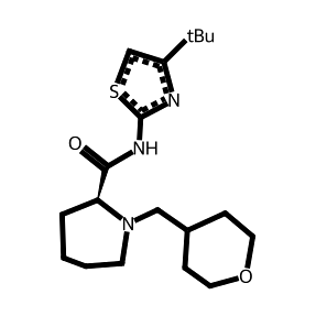 CC(C)(C)c1csc(NC(=O)[C@@H]2CCCCN2CC2CCOCC2)n1